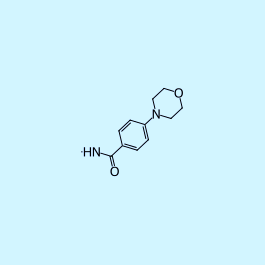 [NH]C(=O)c1ccc(N2CCOCC2)cc1